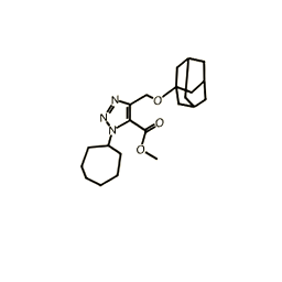 COC(=O)c1c(COC23CC4CC(CC(C4)C2)C3)nnn1C1CCCCCC1